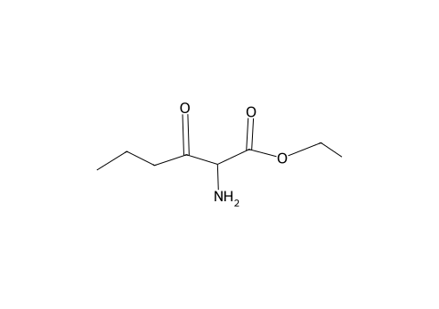 CCCC(=O)C(N)C(=O)OCC